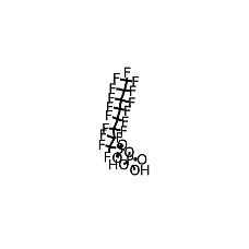 O=P(O)(O)OS(=O)(=O)C(F)(F)C(F)(F)C(F)(F)C(F)(F)C(F)(F)C(F)(F)C(F)(F)C(F)(F)F